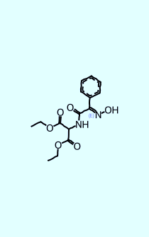 CCOC(=O)C(NC(=O)/C(=N/O)c1ccccc1)C(=O)OCC